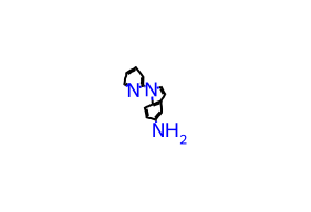 Nc1ccc2c(ccn2-c2ccccn2)c1